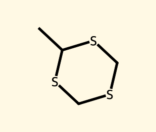 CC1SCSCS1